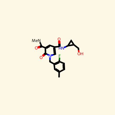 CNC(=O)c1cc(C(=O)NC2CC2CO)cn(Cc2cc(C)ccc2F)c1=O